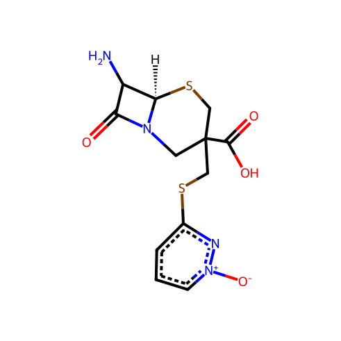 NC1C(=O)N2CC(CSc3ccc[n+]([O-])n3)(C(=O)O)CS[C@H]12